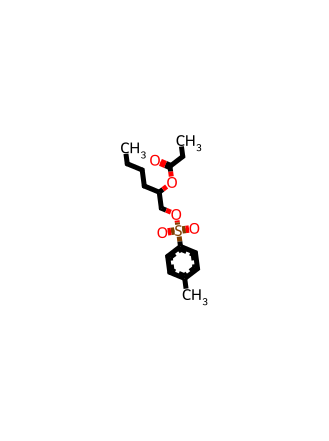 CCCCC(COS(=O)(=O)c1ccc(C)cc1)OC(=O)CC